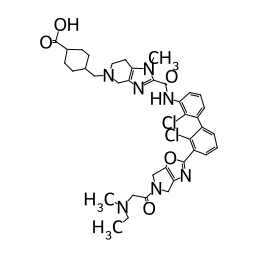 CCN(C)CC(=O)N1Cc2nc(-c3cccc(-c4cccc(NC(=O)c5nc6c(n5C)CCN(CC5CCC(C(=O)O)CC5)C6)c4Cl)c3Cl)oc2C1